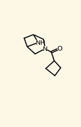 O=C(C1CCC1)N1CC2CC(C1)N2